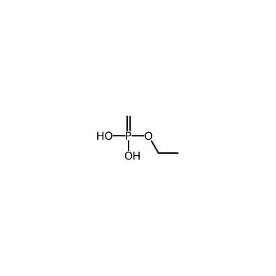 C=P(O)(O)OCC